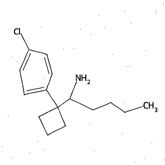 CCCCC(N)C1(c2ccc(Cl)cc2)CCC1